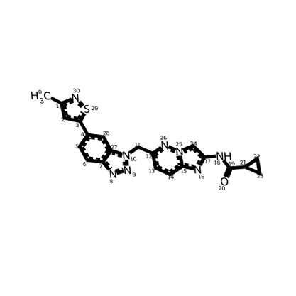 Cc1cc(-c2ccc3nnn(Cc4ccc5nc(NC(=O)C6CC6)cn5n4)c3c2)sn1